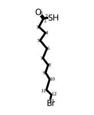 O=C(S)CCCCCCCCCCBr